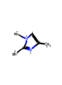 Cc1cn(C(C)(C)C)c(C(C)(C)C)n1